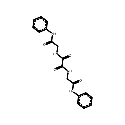 O=C(CNC(=O)C(=O)NCC(=O)Nc1ccccc1)Nc1ccccc1